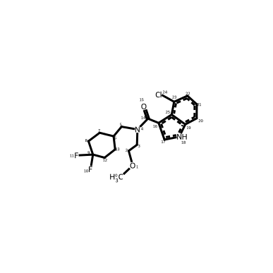 COCCN(CC1CCC(F)(F)CC1)C(=O)c1c[nH]c2cccc(Cl)c12